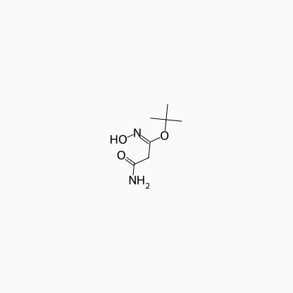 CC(C)(C)OC(CC(N)=O)=NO